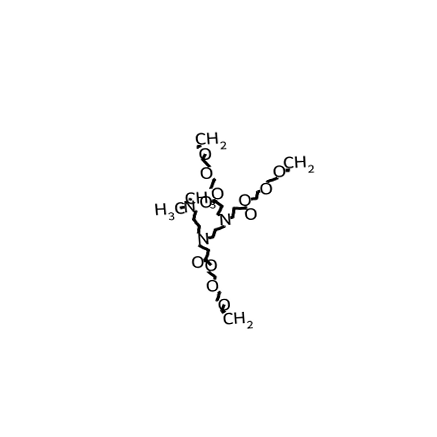 C=COCCOCCOC(=O)CCN(CCCCN(C)C)CCCN(CCC(=O)OCCOCCOC=C)CCC(=O)OCCOCCOC=C